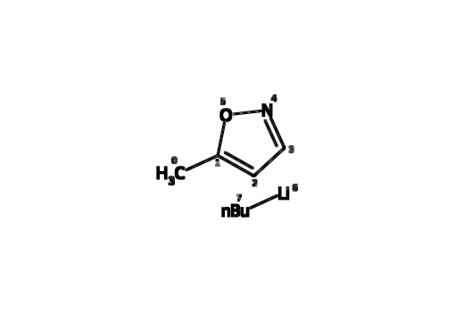 Cc1ccno1.[Li][CH2]CCC